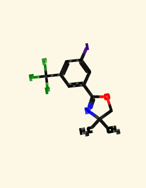 CC1(C)COC(c2cc(I)cc(C(F)(F)F)c2)=N1